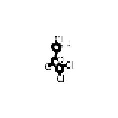 Cc1ccc(-c2cc(=O)c3cc(Cl)cc(Cl)c3o2)cc1